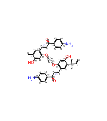 C=CC(C)(C)c1cc(/C=C/C(=O)c2ccc(N)cc2)c(OCC)cc1O.CCCOc1cc(O)c(C)cc1/C=C/C(=O)c1ccc(N)cc1